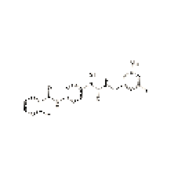 O=C(Nc1ccc(N(S)C(=O)NCc2cc(C(F)(F)F)cc(C(F)(F)F)c2)cc1)c1ccccc1F